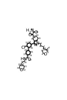 C[C@H]1COCCN1CCCn1nc(-c2ccc(Cl)c(-c3ccc(C(=O)NCCN4CCOCC4)cc3)c2)c2c1CCN(C(=O)C(N)=O)C2